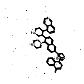 Cc1ccc(C2C3CNC2(c2ccc4c(N5CCNCC5)c(C5CNCCC5c5cccc6cnccc56)ccc4c2)C3)c2ccccc12